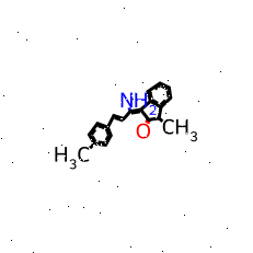 Cc1ccc(C=CC(N)=C2C(=O)C(C)c3ccccc32)cc1